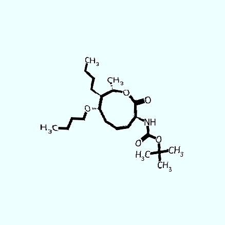 CCCCO[C@H]1CCC[C@H](NC(=O)OC(C)(C)C)C(=O)O[C@@H](C)[C@@H]1CCCC